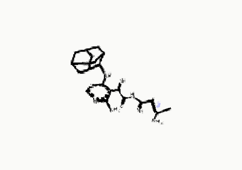 C/C(N)=C/C(=N)NC(=O)C(=N)c1c(N)ncnc1NC1C2CC3CC(C2)CC1C3